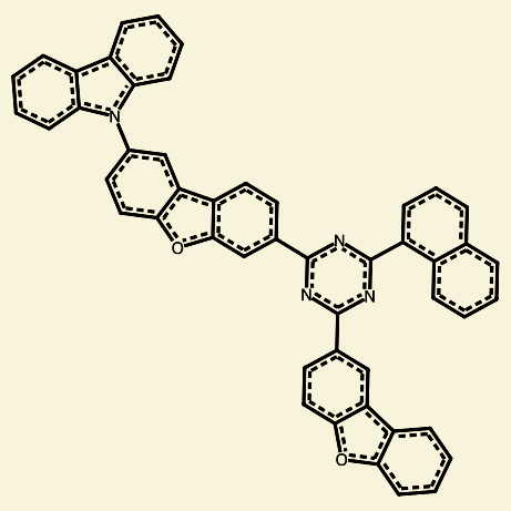 c1ccc2c(-c3nc(-c4ccc5c(c4)oc4ccc(-n6c7ccccc7c7ccccc76)cc45)nc(-c4ccc5oc6ccccc6c5c4)n3)cccc2c1